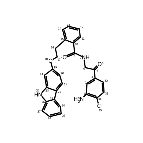 Nc1cc(C(=O)CNC(=O)c2ccccc2CCOc2ccc3c(c2)[nH]c2ccccc23)ccc1Cl